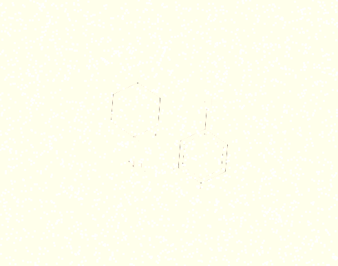 Cc1ccccc1[C@H]1CCCC[C@H]1N